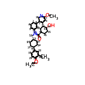 COc1ccc(-c2cccc(N(C[C@H]3CC[C@H](c4ccc(OC)c(C)c4)CC3)C(=O)[C@H]3CC[C@H](O)CC3)c2)cn1